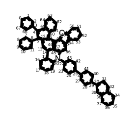 c1ccc(-c2c(-c3ccccc3)c3cc(-c4ccccc4N(c4ccc(-c5ccc(-c6ccc7ccccc7c6)cc5)cc4)c4ccc5oc6ccccc6c5c4)ccc3c3ccccc23)cc1